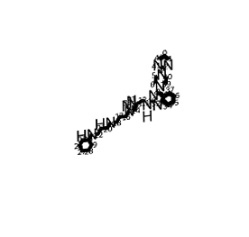 c1cnc(N2CCN(c3nc(NCc4cn(CCCNCCCNC5CCCCC5)nn4)nc4ccccc34)CC2)nc1